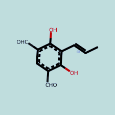 C/C=C/c1c(O)c(C=O)cc(C=O)c1O